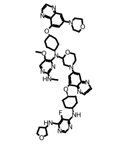 CNc1ncc(OC)c(N(C2CN(c3cc(O[C@H]4CC[C@@H](Nc5ncnc(NC6CCOC6)c5F)CC4)c4nccnc4c3)CCO2)[C@H]2CC[C@@H](Oc3cc(N4CCOCC4)cc4nccnc34)CC2)n1